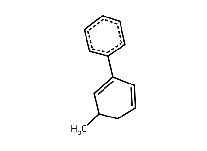 CC1C=C(c2ccccc2)C=CC1